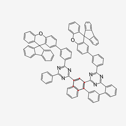 c1ccc(-c2nc(-c3ccc(-c4cccc(-c5ccccc5-c5nc(-c6cccc(-c7ccc8c(c7)C7(c9ccccc9O8)c8ccccc8-c8ccccc87)c6)nc(-c6ccc7ccccc7c6)n5)c4)cc3)nc(-c3cccc(-c4ccc5c(c4)C4(c6ccccc6O5)c5ccccc5-c5ccccc54)c3)n2)cc1